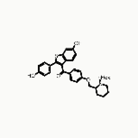 CCCCCCN1CCCCC1COc1ccc(C(=O)c2c(-c3ccc(O)cc3)sc3cc(O)ccc23)cc1